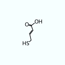 O=C(O)/C=C/CS